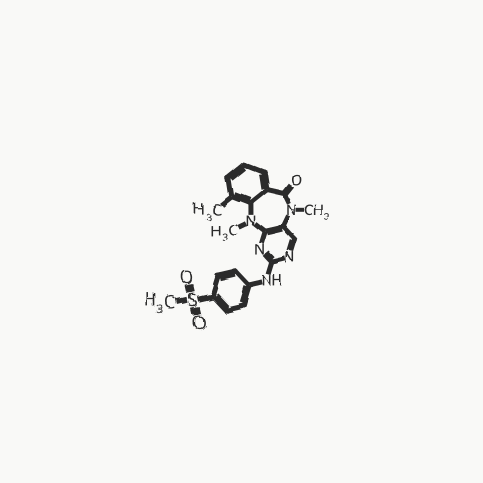 Cc1cccc2c1N(C)c1nc(Nc3ccc(S(C)(=O)=O)cc3)ncc1N(C)C2=O